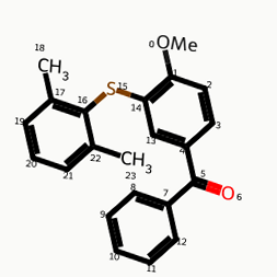 COc1ccc(C(=O)c2ccccc2)cc1Sc1c(C)cccc1C